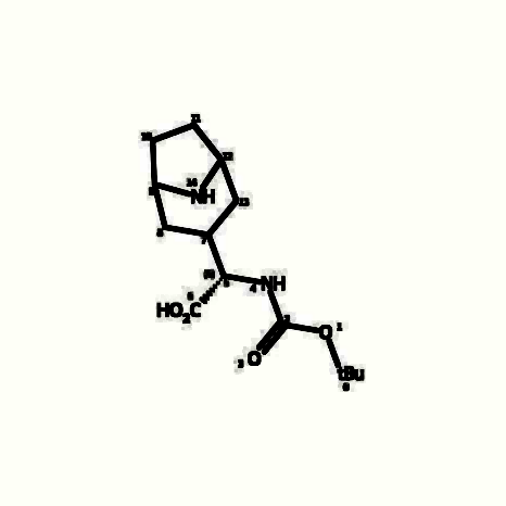 CC(C)(C)OC(=O)N[C@H](C(=O)O)C1CC2CCC(C1)N2